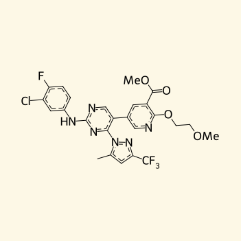 COCCOc1ncc(-c2cnc(Nc3ccc(F)c(Cl)c3)nc2-n2nc(C(F)(F)F)cc2C)cc1C(=O)OC